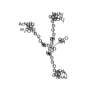 CC(=O)N[C@H]1[C@H]2OC[C@](COCCOCCOCCOCCn3cc(COCC(COCc4cn(CCOCCOCCOCCOC[C@@]56COC(O5)[C@H](NC(C)=O)[C@H]5OC(C)(C)O[C@H]56)nn4)(COCc4cn(CCOCCOCCOCCOC[C@@]56COC(O5)[C@H](NC(C)=O)[C@H]5OC(C)(C)O[C@H]56)nn4)NC(=O)CCCCCNC(=O)OCc4ccccc4)nn3)(O2)[C@@H]2OC(C)(C)O[C@H]12